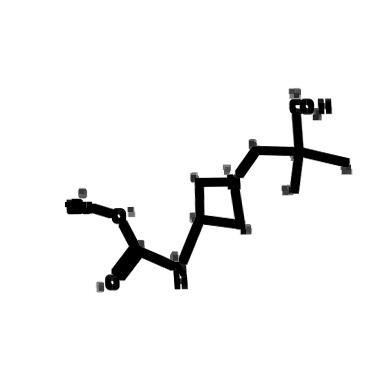 CC(C)(C)OC(=O)NC1CN(CC(C)(C)C(=O)O)C1